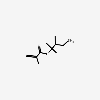 C=C(C)C(=O)OC(C)(C)C(C)C[SiH3]